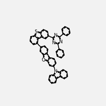 c1ccc(-c2nc(-c3ccccc3)nc(-c3ccc4sc5cccc(-c6ccc7c(c6)oc6cc(-n8c9ccccc9c9ccccc98)ccc67)c5c4c3)n2)cc1